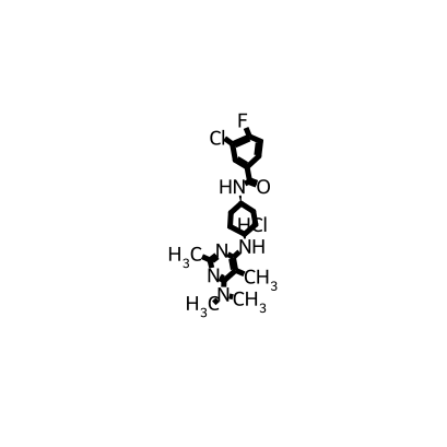 Cc1nc(N[C@H]2CC[C@@H](NC(=O)c3ccc(F)c(Cl)c3)CC2)c(C)c(N(C)C)n1.Cl